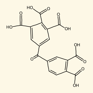 O=C(c1ccc(C(=O)O)c(C(=O)O)c1)c1cc(C(=O)O)c(C(=O)O)c(C(=O)O)c1